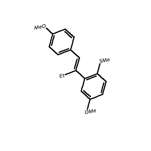 CC/C(=C\c1ccc(OC)cc1)c1cc(OC)ccc1SC